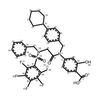 O=C(O)c1ccc(N(Cc2ccc(C3CCCCC3)cc2)C(=O)CN(Cc2ccccc2)S(=O)(=O)c2c(F)c(F)c(F)c(F)c2F)cc1O